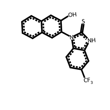 Oc1cc2ccccc2cc1-n1c(=S)[nH]c2cc(C(F)(F)F)ccc21